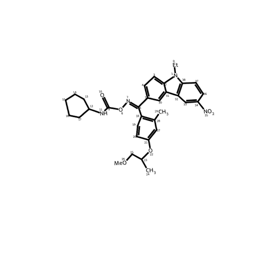 CCn1c2ccc(/C(=N/OC(=O)NC3CCCCC3)c3ccc(OC(C)COC)cc3C)cc2c2cc([N+](=O)[O-])ccc21